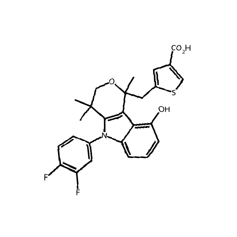 CC1(C)COC(C)(Cc2cc(C(=O)O)cs2)c2c1n(-c1ccc(F)c(F)c1)c1cccc(O)c21